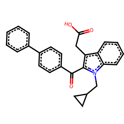 O=C(O)Cc1c(C(=O)c2ccc(-c3ccccc3)cc2)n(CC2CC2)c2ccccc12